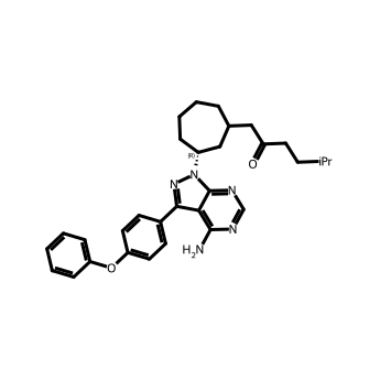 CC(C)CCC(=O)CC1CCCC[C@@H](n2nc(-c3ccc(Oc4ccccc4)cc3)c3c(N)ncnc32)C1